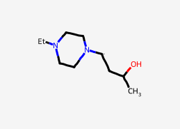 CCN1CCN([CH]CC(C)O)CC1